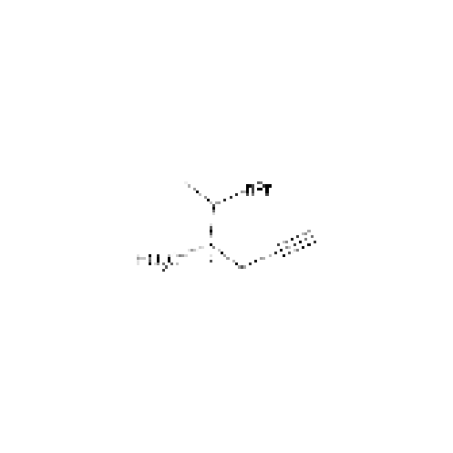 C#CC[C@H](C(=O)O)C(C)CCC